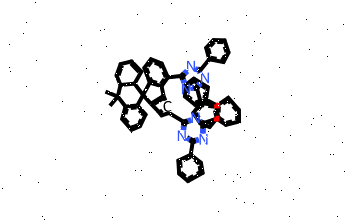 CC1(C)c2ccccc2C2(C3=C(CC(c4nc(-c5ccccc5)nc(-c5ccccc5-c5ccccc5)n4)C=C3)c3c(-c4nc(-c5ccccc5)nc(-c5ccccc5)n4)cccc32)C2C=CC=CC21